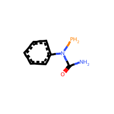 NC(=O)N(P)c1ccccc1